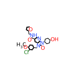 COc1ccc(Cn2c(=O)n([C@H]3CC[C@H](O)CC3)c3ncc(C(=O)NCc4ccco4)cc32)cc1Cl